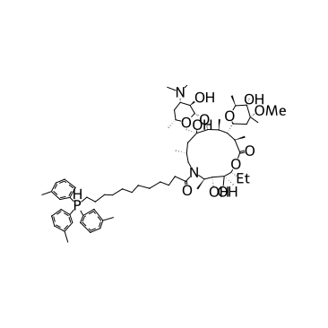 CC[C@H]1OC(=O)[C@H](C)[C@@H](C2C[C@@](C)(OC)[C@@H](O)[C@H](C)O2)[C@H](C)[C@@H](O[C@@H]2O[C@H](C)C[C@H](N(C)C)[C@H]2O)[C@](C)(O)C[C@@H](C)CN(C(=O)CCCCCCCCCCC[PH](c2cccc(C)c2)(c2cccc(C)c2)c2cccc(C)c2)[C@H](C)[C@@H](O)[C@]1(C)O